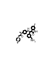 CN1CCN(CC(=O)N(C)c2ccc(NC(=C3C(=O)Nc4cc(F)ccc43)c3cccc(CN)c3)cc2)CC1